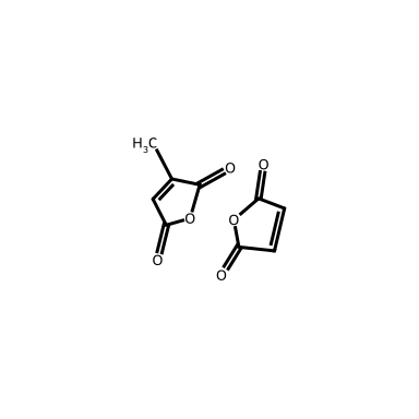 CC1=CC(=O)OC1=O.O=C1C=CC(=O)O1